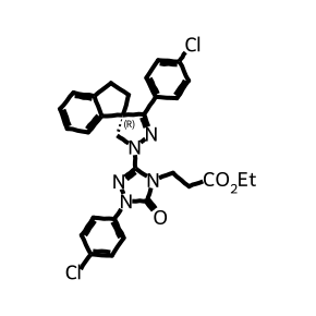 CCOC(=O)CCn1c(N2C[C@]3(CCc4ccccc43)C(c3ccc(Cl)cc3)=N2)nn(-c2ccc(Cl)cc2)c1=O